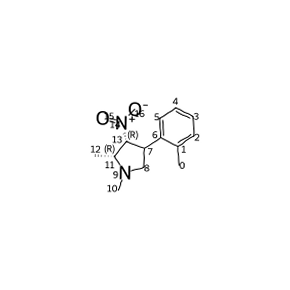 Cc1ccccc1C1CN(C)[C@H](C)[C@@H]1[N+](=O)[O-]